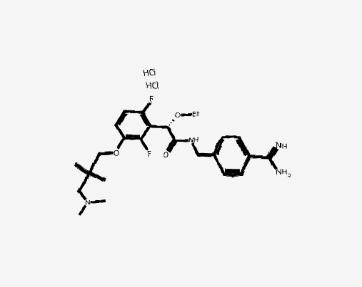 CCO[C@H](C(=O)NCc1ccc(C(=N)N)cc1)c1c(F)ccc(OCC(C)(C)CN(C)C)c1F.Cl.Cl